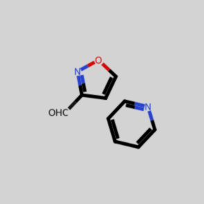 O=Cc1ccon1.c1ccncc1